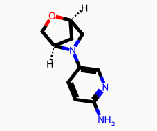 Nc1ccc(N2C[C@H]3C[C@@H]2CO3)cn1